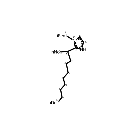 CCCCCCCCCCCCCCCCCC(CCCCCCCCC)c1[nH]cc[n+]1C(C)CCC